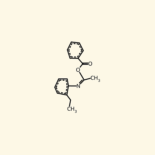 CCc1ccccc1N=C(C)OC(=O)c1ccccc1